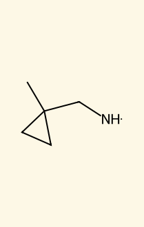 CC1(C[NH])CC1